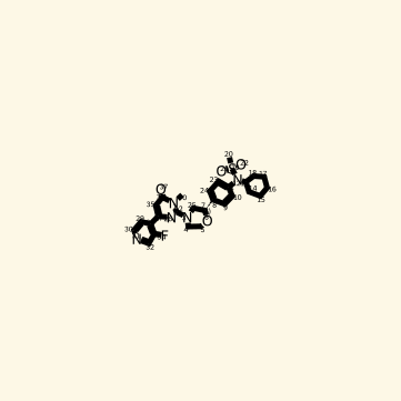 Cn1c(N2CCO[C@@H](c3ccc(N(C4CCCCC4)S(C)(=O)=O)cc3)C2)nc(-c2ccncc2F)cc1=O